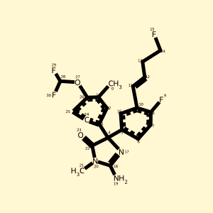 Cc1cc(C2(c3ccc(F)c(C=CCCF)c3)N=C(N)N(C)C2=O)ccc1OC(F)F